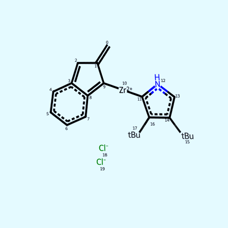 C=C1C=c2ccccc2=[C]1[Zr+2][c]1[nH]cc(C(C)(C)C)c1C(C)(C)C.[Cl-].[Cl-]